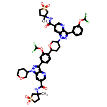 CC1(NC(=O)c2cnc3c(-c4ccc(C5CCC(n6nc(-c7cccc(OC(F)F)c7)c7ncc(C(=O)NC8(C)CCS(=O)(=O)C8)cc76)CO5)c(OC(F)F)c4)nn(C4CCCOC4)c3c2)CCS(=O)(=O)C1